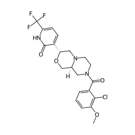 COc1cccc(C(=O)N2CCN3C[C@@H](c4ccc(C(F)(F)F)[nH]c4=O)OC[C@@H]3C2)c1Cl